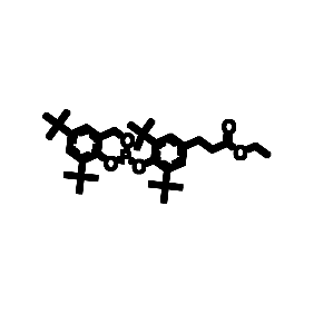 CCOC(=O)CCc1cc(C(C)(C)C)c(OP2OCc3cc(C(C)(C)C)cc(C(C)(C)C)c3O2)c(C(C)(C)C)c1